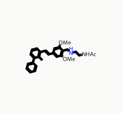 COc1cc(C=Cc2cccc(-c3ccccc3)c2C)cc(OC)c1CNCCNC(C)=O